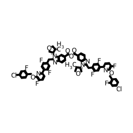 C[C@H]1COC[C@H]1n1c(Cc2cc(F)c(-c3ccc(F)c(OCc4ccc(Cl)cc4F)n3)cc2F)nc2ccc(C(=O)OC(=O)c3ccc4nc(Cc5cc(F)c(-c6ccc(F)c(OCc7ccc(Cl)cc7F)n6)cc5F)n([C@@H]5COC[C@@H]5C)c4c3)cc21